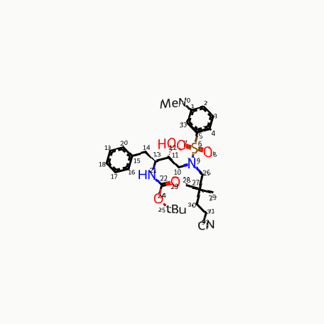 CNc1cccc(S(=O)(=O)N(C[C@@H](O)[C@H](Cc2ccccc2)NC(=O)OC(C)(C)C)CC(C)(C)CCC#N)c1